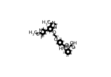 COc1ncc(-c2cc(OCCOc3ccc(C(=O)Nc4ccccc4NC(=O)O)cc3)c3ncnc(C)c3c2)cc1F